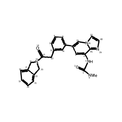 CNC(=O)Nc1cc(-c2cccc(CC(=O)N3Cc4ccccc4C3)c2)cn2ccnc12